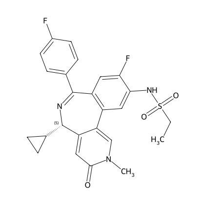 CCS(=O)(=O)Nc1cc2c(cc1F)C(c1ccc(F)cc1)=N[C@@H](C1CC1)c1cc(=O)n(C)cc1-2